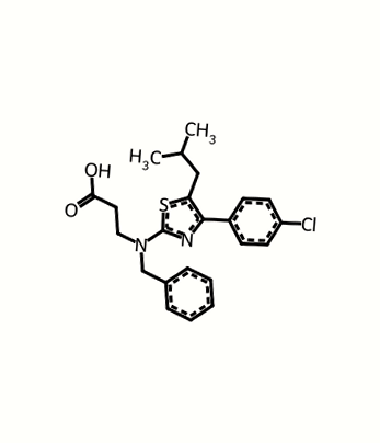 CC(C)Cc1sc(N(CCC(=O)O)Cc2ccccc2)nc1-c1ccc(Cl)cc1